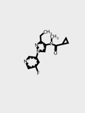 CCc1nn(-c2cncc(F)c2)cc1N(C)C(=O)C1CC1